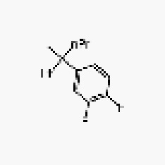 CCCC(C)(CC)c1ccc(F)c(F)c1